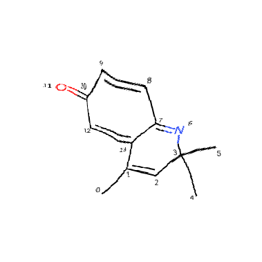 CC1=CC(C)(C)N=C2C=CC(=O)C=C12